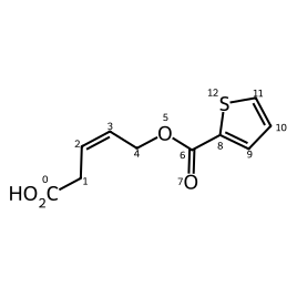 O=C(O)C/C=C\COC(=O)c1cccs1